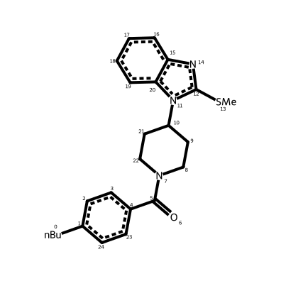 CCCCc1ccc(C(=O)N2CCC(n3c(SC)nc4ccccc43)CC2)cc1